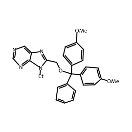 [CH2]Cn1c(COC(c2ccccc2)(c2ccc(OC)cc2)c2ccc(OC)cc2)nc2cncnc21